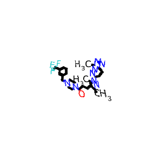 Cc1nn(-c2ccc3nnc(C)n3n2)c(C)c1CCC(=O)N1CCN(Cc2cccc(C(F)(F)F)c2)CC1